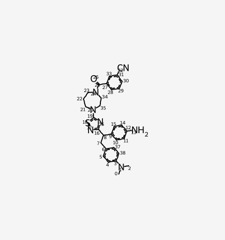 CN(C)c1ccc(CC(c2ccc(N)cc2)c2nsc(N3CCCN(C(=O)c4cccc(C#N)c4)CC3)n2)cc1